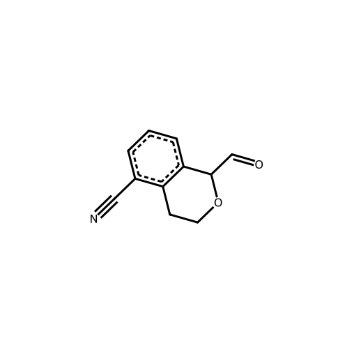 N#Cc1cccc2c1CCOC2C=O